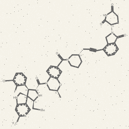 C[C@H]1CN(C(=O)[C@@H]2N[C@@H](CC(C)(C)C)[C@@]3(CNc4cc(C(F)(F)F)ncc43)[C@H]2c2cccc(Cl)c2F)c2ccc(C(=O)N3CCC[C@@H](CC#Cc4cccc5c4CN([C@H]4CCC(=O)NC4=O)C5=O)C3)cc2O1